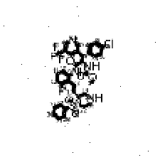 COC(=O)N[C@H](C(=O)Nc1cccc(F)c1CC[C@H]1CNCCN1S(=O)(=O)c1ccccc1)[C@@H](c1ccc(Cl)cc1)c1cncc(C(F)(F)F)c1